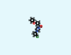 O=C(c1cccc(Oc2ccccc2)c1)N1CCN(c2cccc(Cl)c2)CC1